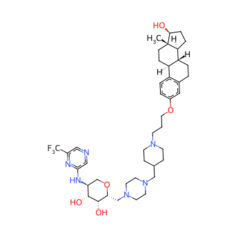 C[C@]12CC[C@@H]3c4ccc(OCCCN5CCC(CN6CCN(C[C@H]7OC[C@H](Nc8cncc(C(F)(F)F)n8)[C@@H](O)[C@H]7O)CC6)CC5)cc4CC[C@H]3[C@@H]1CC[C@@H]2O